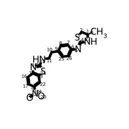 C[C@@H]1CS/C(=N\c2ccc(CCNc3nc4ccc([N+](=O)[O-])cc4s3)cc2)N1